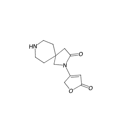 O=C1C=C(N2CC3(CCNCC3)CC2=O)CO1